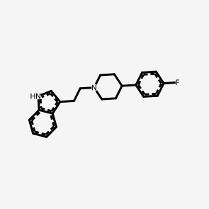 Fc1ccc(C2CCN(CCc3c[nH]c4ccccc34)CC2)cc1